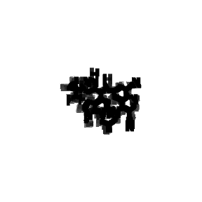 CC(C)CNc1c(C#N)cnc2c(C#N)cc(N[C@H](C3=CN(C4(C(F)F)CC4)NN3)c3ccnc4c3ccn4C)cc12